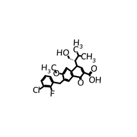 COc1cc2c(cc1Cc1cccc(Cl)c1F)C(=O)C(C(=O)O)=CC2[C@H](CO)C(C)C